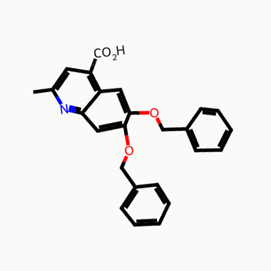 Cc1cc(C(=O)O)c2cc(OCc3ccccc3)c(OCc3ccccc3)cc2n1